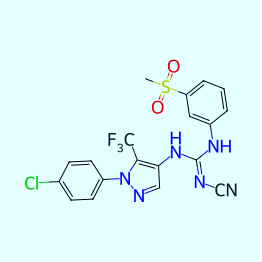 CS(=O)(=O)c1cccc(N/C(=N\C#N)Nc2cnn(-c3ccc(Cl)cc3)c2C(F)(F)F)c1